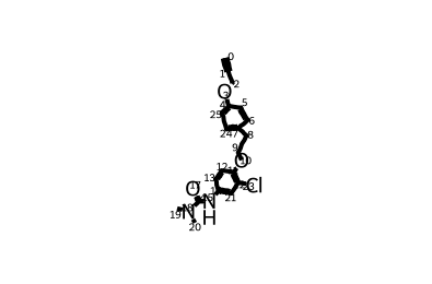 C#CCOc1ccc(CCOc2ccc(NC(=O)N(C)C)cc2Cl)cc1